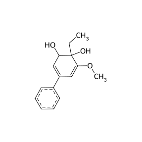 CCC1(O)C(OC)=CC(c2ccccc2)=CC1O